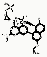 COCOc1cc(-c2cc3nc([S@@+](C)[O-])nc(N[C@@H]4C[C@H]4O[Si](C)(C)C(C)(C)C)c3c(OC)n2)c2c(C#C[Si](C(C)C)(C(C)C)C(C)C)c(F)ccc2c1